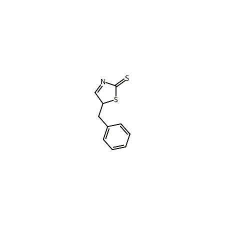 S=C1N=CC(Cc2ccccc2)S1